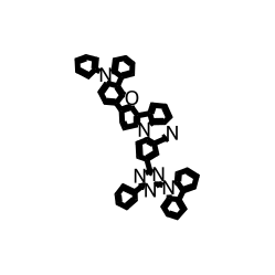 N#Cc1cc(-c2nc(-c3ccccc3)nc(-n3c4ccccc4c4ccccc43)n2)ccc1-n1c2ccccc2c2c3oc4c(ccc5c4c4ccccc4n5-c4ccccc4)c3ccc21